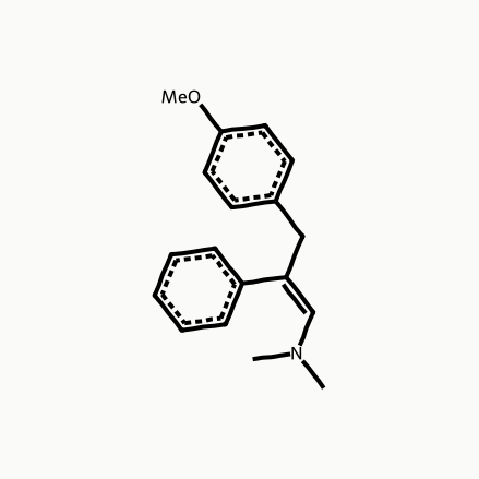 COc1ccc(CC(=CN(C)C)c2ccccc2)cc1